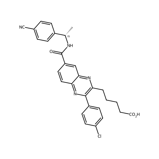 C[C@H](NC(=O)c1ccc2nc(-c3ccc(Cl)cc3)c(CCCCC(=O)O)nc2c1)c1ccc(C#N)cc1